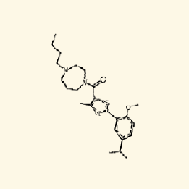 CCCCN1CCCN(C(=O)c2sc(-c3cc(C(C)C)ccc3OC)nc2C)CC1